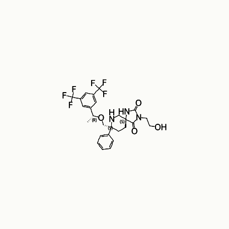 C[C@@H](OC[C@@]1(c2ccccc2)CC[C@@]2(CN1)NC(=O)N(CCO)C2=O)c1cc(C(F)(F)F)cc(C(F)(F)F)c1